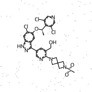 C[C@@H](Oc1cc2c(-c3cnc(N4CC5(C4)CN(S(C)(=O)=O)C5)c(CO)c3)n[nH]c2cc1Cl)c1c(Cl)cncc1Cl